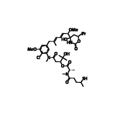 COc1cc(C/C(C)=C/C=C/C(OC)C2(O)CC(C(C)C)OC(=O)N2)cc(N(C)C(=O)CC(OC(=O)[C@H](C)N(C)C(=O)CCC(C)S)C(C)(C)O)c1Cl